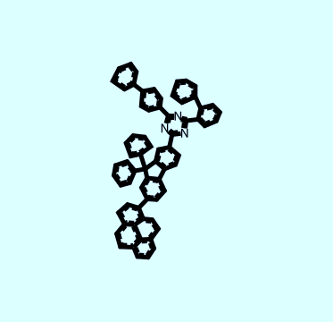 c1ccc(-c2ccc(-c3nc(-c4ccc5c(c4)C(c4ccccc4)(c4ccccc4)c4cc(-c6ccc7ccc8cccc9ccc6c7c89)ccc4-5)nc(-c4ccccc4-c4ccccc4)n3)cc2)cc1